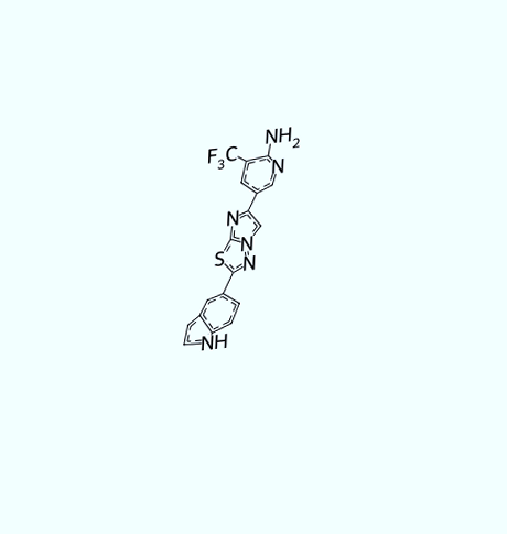 Nc1ncc(-c2cn3nc(-c4ccc5[nH]ccc5c4)sc3n2)cc1C(F)(F)F